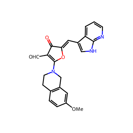 COc1ccc2c(c1)CN(C1=C(C=O)C(=O)/C(=C/c3c[nH]c4ncccc34)O1)CC2